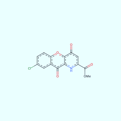 COC(=O)c1cc(=O)c2oc3ccc(Cl)cc3c(=O)c2[nH]1